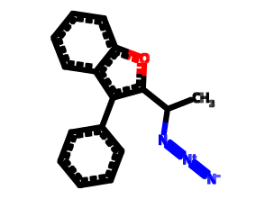 CC(N=[N+]=[N-])c1oc2ccccc2c1-c1ccccc1